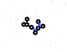 c1ccc(-c2cc(-c3ccc(-n4c5ccccc5c5cc6c7ccccc7n(-c7ccccc7)c6cc54)cc3)cc3ccccc23)cc1